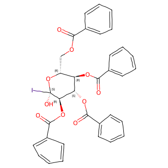 O=C(OC[C@H]1O[C@](O)(I)[C@H](OC(=O)c2ccccc2)[C@@H](OC(=O)c2ccccc2)[C@@H]1OC(=O)c1ccccc1)c1ccccc1